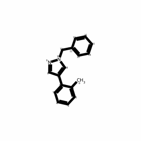 Cc1ccccc1-c1cnn(Cc2ccccc2)c1